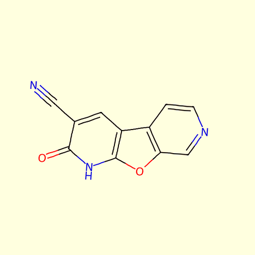 N#Cc1cc2c([nH]c1=O)oc1cnccc12